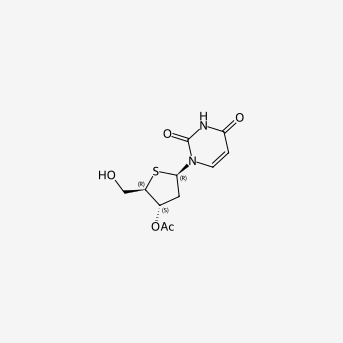 CC(=O)O[C@H]1C[C@H](n2ccc(=O)[nH]c2=O)S[C@@H]1CO